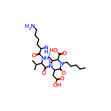 CCCCCN(C(=O)C(CC(=O)O)NC(=O)C(NC(=O)C(N)CCCCN)C(C)C)C(C(=O)O)C(C)C